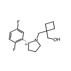 OCC1([CH]N2CCC[C@@H]2c2cc(F)ccc2F)CCC1